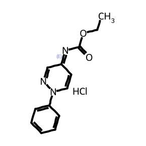 CCOC(=O)/N=c1\ccn(-c2ccccc2)nc1.Cl